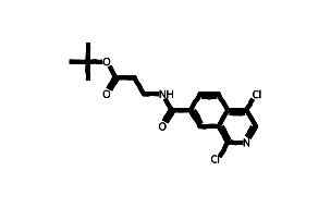 CC(C)(C)OC(=O)CCNC(=O)c1ccc2c(Cl)cnc(Cl)c2c1